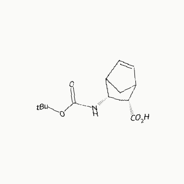 CC(C)(C)OC(=O)N[C@@H]1C2C=CC(C2)[C@@H]1C(=O)O